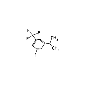 CC(C)c1cc(I)cc(C(F)(F)F)c1